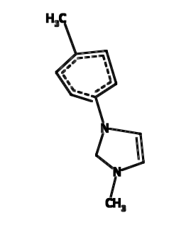 Cc1ccc(N2C=CN(C)C2)cc1